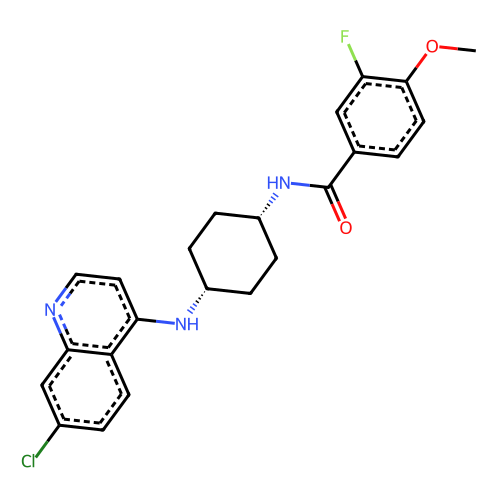 COc1ccc(C(=O)N[C@H]2CC[C@@H](Nc3ccnc4cc(Cl)ccc34)CC2)cc1F